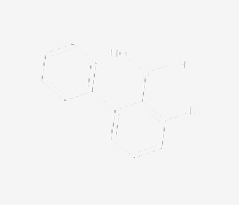 OB(O)c1c(Br)cccc1-c1ccccc1